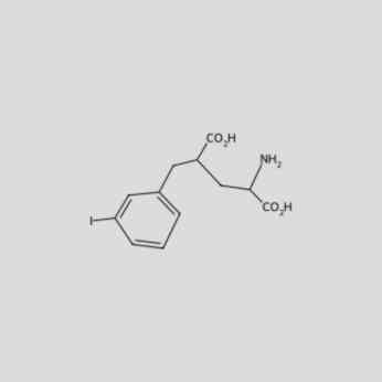 NC(CC(Cc1cccc(I)c1)C(=O)O)C(=O)O